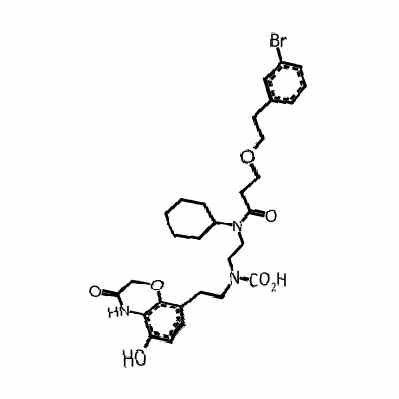 O=C1COc2c(CCN(CCN(C(=O)CCOCCc3cccc(Br)c3)C3CCCCC3)C(=O)O)ccc(O)c2N1